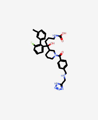 Cc1cccc(-c2c(F)cccc2C(O)(CCCNC(=O)O)C2CCCN(C(=O)c3ccc(CNCc4nnn[nH]4)cc3)C2)c1